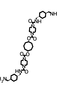 NC[C@H]1CC[C@H](CNC(=O)N2CCN(C(=O)O[C@H]3CCC[C@@H](OC(=O)N4CCN(C(=O)NC[C@H]5CC[C@H](CN)CC5)CC4)CCC3)CC2)CC1